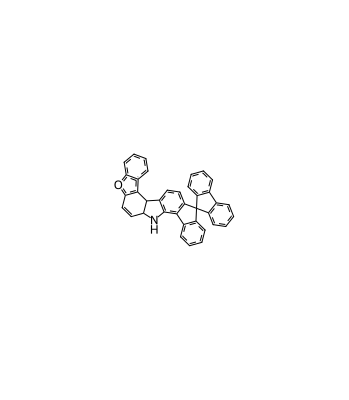 C1=CC2Nc3c(ccc4c3-c3ccccc3C43c4ccccc4-c4ccccc43)C2c2c1oc1ccccc21